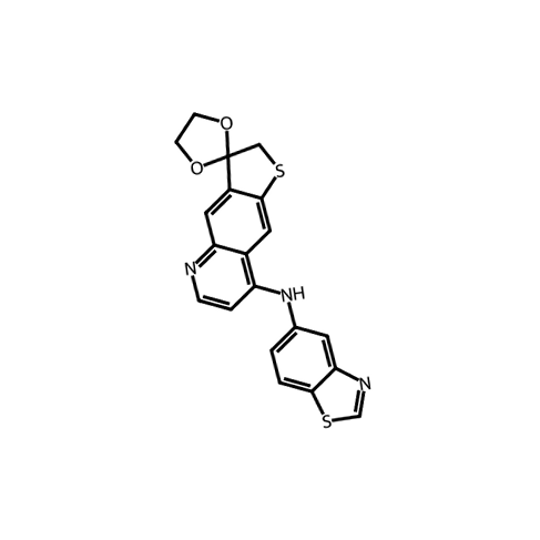 c1cc(Nc2ccc3scnc3c2)c2cc3c(cc2n1)C1(CS3)OCCO1